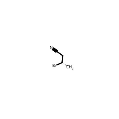 C[C@H](Br)CC#N